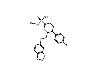 CCC(C)OP(=O)(O)N1CCC(c2ccc(F)cc2)C(COc2ccc3c(c2)OCO3)C1